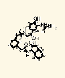 CC(C)(Cc1cccc(CC(=O)NC2c3ccccc3CC2O)c1)NCC(O)c1ccc(O)c(NC(N)=O)c1